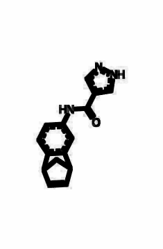 O=C(Nc1ccc2c(c1)C1C=CC2C1)c1cn[nH]c1